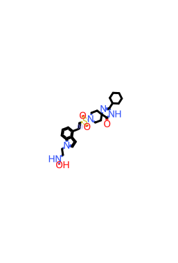 O=C1NC(C2CCCCC2)=NC12CCN(S(=O)(=O)/C=C/c1cccc3c1ccn3CCNO)CC2